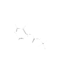 CC(C)(C)NC(=O)Oc1ccnc(Cl)c1I